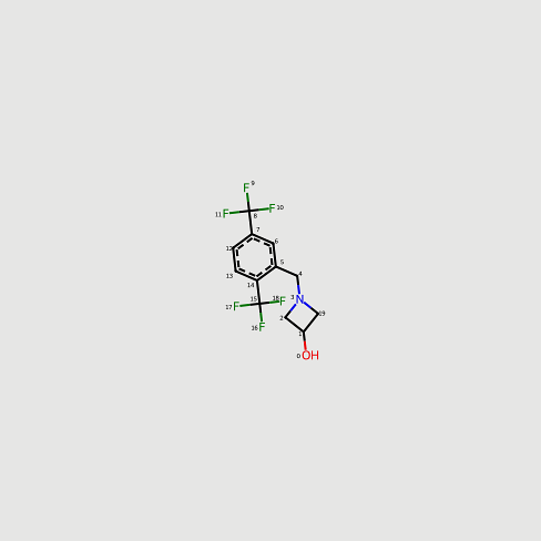 OC1CN(Cc2cc(C(F)(F)F)ccc2C(F)(F)F)C1